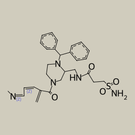 C=C(/C=C\C=N/C)C(=O)N1CCN(C(c2ccccc2)c2ccccc2)C(CNC(=O)CCS(N)(=O)=O)C1